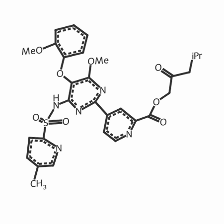 COc1ccccc1Oc1c(NS(=O)(=O)c2ccc(C)cn2)nc(-c2ccnc(C(=O)OCC(=O)CC(C)C)c2)nc1OC